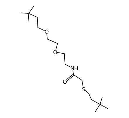 CC(C)(C)CCOCCOCCNC(=O)CSCCC(C)(C)C